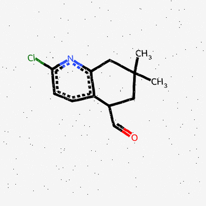 CC1(C)Cc2nc(Cl)ccc2C(C=O)C1